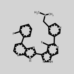 CN(C)Cc1cncc(-c2ncc3[nH]nc(-c4nc5c(-c6ccccc6F)ccnc5[nH]4)c3c2F)c1